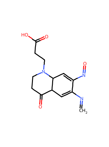 C=NC1=CC2C(=O)CCN(CCC(=O)O)C2C=C1N=O